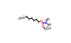 CCCCCCCCCCCCCCCCOP(OCCCCCCCC)N(C(C)C)C(C)C